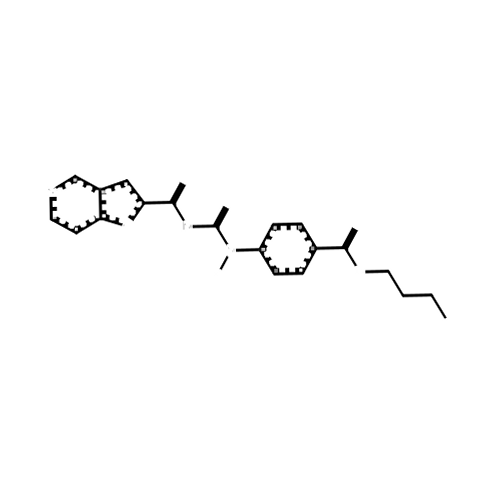 CCCCOC(=O)c1ccc(N(S)C(=O)NC(=O)c2cc3cnccc3o2)cc1